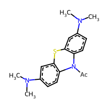 CC(=O)N1c2ccc(N(C)C)cc2Sc2cc(N(C)C)ccc21